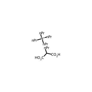 CCCC(C(=O)O)C(=O)O.CCC[N+](CCC)(CCC)CCC